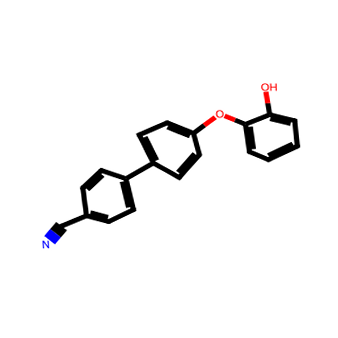 N#Cc1ccc(-c2ccc(Oc3ccccc3O)cc2)cc1